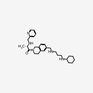 C[C@H](NCc1ccccn1)C(=O)N1CCc2cc(CNCCCNC3CCCCC3)ccc2C1